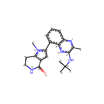 Cc1nc2cccc(-c3cc4c(n3C)CCNC4=O)c2nc1NC(C)(C)C